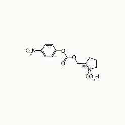 O=C(OC[C@H]1CCCN1C(=O)O)Oc1ccc([N+](=O)[O-])cc1